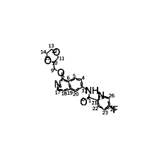 O=C(Nc1ccc2c(OC[C@@H]3COCCO3)nccc2c1)c1ccc(F)cn1